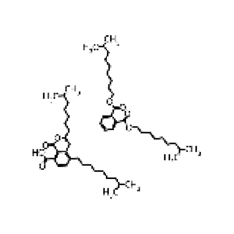 CC(C)CCCCCCCOC(=O)c1ccccc1C(=O)OCCCCCCCC(C)C.CC(C)CCCCCCCc1ccc(C(=O)O)c(C(=O)O)c1CCCCCCCC(C)C